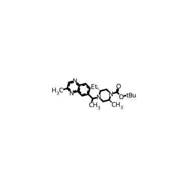 CC[C@@H]1CN(C(=O)OC(C)(C)C)[C@@H](C)CN1C(C)c1ccc2ncc(C)nc2c1